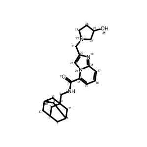 O=C(NCC12CC3CC(CC(C3)C1)C2)c1cccc2nc(CN3CCC(O)C3)cn12